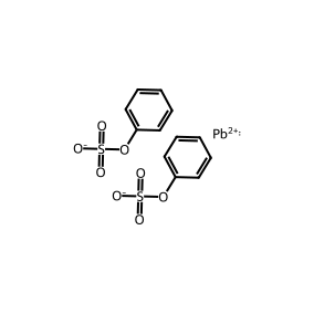 O=S(=O)([O-])Oc1ccccc1.O=S(=O)([O-])Oc1ccccc1.[Pb+2]